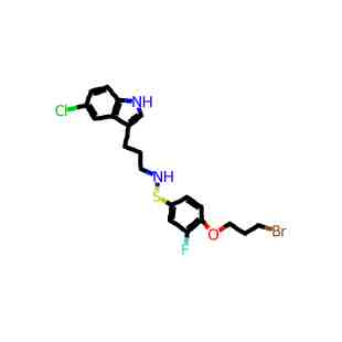 Fc1cc(SNCCCc2c[nH]c3ccc(Cl)cc23)ccc1OCCCBr